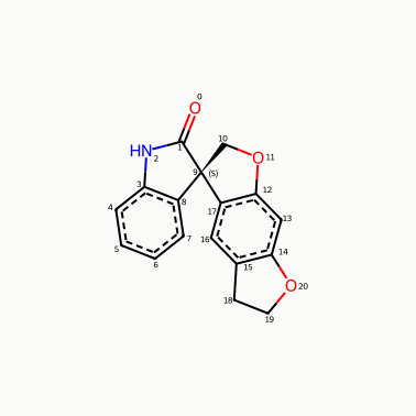 O=C1Nc2ccccc2[C@]12COc1cc3c(cc12)CCO3